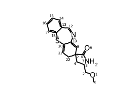 COCCCC1(C(N)=O)C=C2N=Cc3ccccc3SC2=CC1